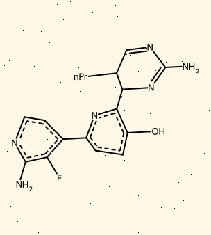 CCCC1C=NC(N)=NC1c1nc(-c2ccnc(N)c2F)ccc1O